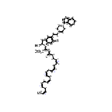 CC/C=C\C/C=C\C/C=C\C/C=C\C/C=C\C/C=C\CCC(=O)OC(C(=O)OCC)N1c2cc(Cl)c(CCN3CCN(c4nsc5ccccc45)CC3)cc2CC1O